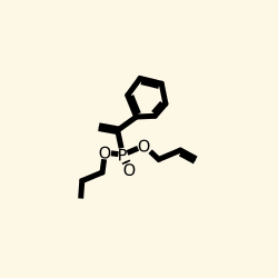 C=CCOP(=O)(OCCC)C(=C)c1ccccc1